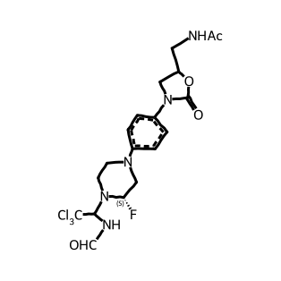 CC(=O)NCC1CN(c2ccc(N3CCN(C(NC=O)C(Cl)(Cl)Cl)[C@@H](F)C3)cc2)C(=O)O1